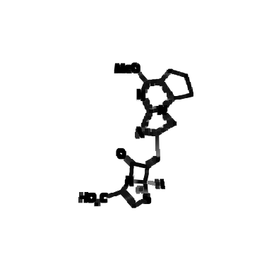 COc1nc2nc(C=C3C(=O)N4C(C(=O)O)=CS[C@H]34)cn2c2c1CCC2